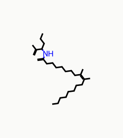 C=C(CCCCCCC/C(C)=C(/C)CCCCCCCC)NC(CCC)C(=C)C